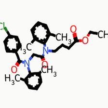 CCOC(=O)CCCN(C(=O)CN(C(=O)c1ccc(Cl)cc1)c1c(C)cccc1C)c1c(C)cccc1C